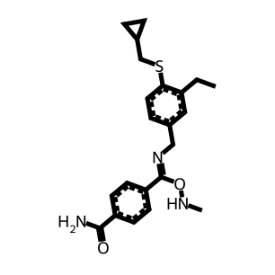 CCc1cc(C/N=C(\ONC)c2ccc(C(N)=O)cc2)ccc1SCC1CC1